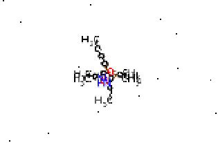 CCCCc1ccc(Nc2ccc(Sc3ccc(C(C)(C)C)cc3)c3c2C(=O)c2c(Nc4ccc(C(C)C)cc4)ccc(Sc4ccc(-c5ccc(C6CCC(CCC)CC6)cc5)cc4)c2C3=O)cc1